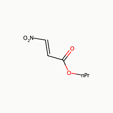 CCCOC(=O)C=C[N+](=O)[O-]